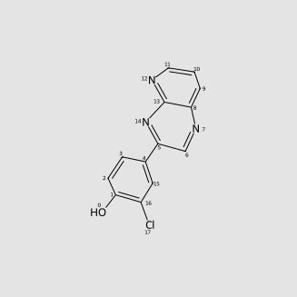 Oc1ccc(-c2cnc3cccnc3n2)cc1Cl